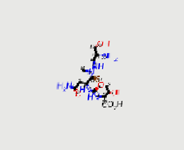 CC(O)[C@H](NC(=O)N[C@@H](CC(N)=O)C(=S)N(C)NC[C@@H](N)CO)C(=O)O